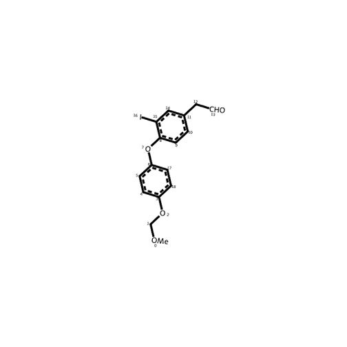 COCOc1ccc(Oc2ccc(CC=O)cc2I)cc1